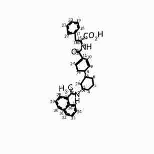 C[C@@H](N[C@H]1CCC[C@H](C2C=CC(C(=O)N[C@@H](Cc3ccccc3)C(=O)O)=CC2)C1)c1cccc2ccccc12